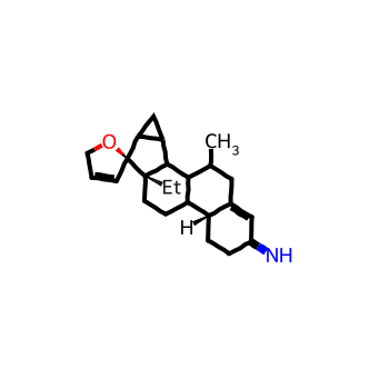 CC[C@]12CCC3C(C(C)CC4=CC(=N)CC[C@@H]43)C1C1CC1[C@@]21C=CCO1